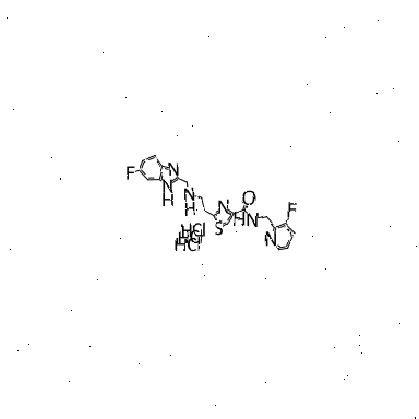 Cl.Cl.Cl.O=C(NCc1ncccc1F)c1csc(CCNCc2nc3ccc(F)cc3[nH]2)n1